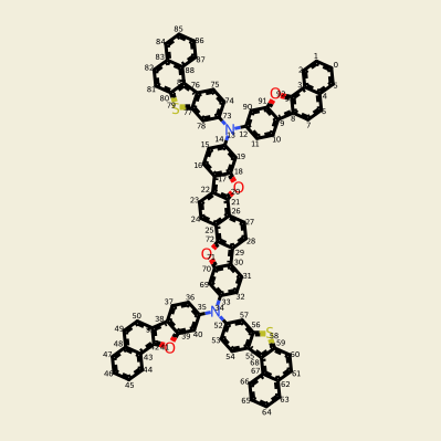 c1ccc2c(c1)ccc1c3ccc(N(c4ccc5c(c4)oc4c5ccc5c4ccc4c6ccc(N(c7ccc8c(c7)oc7c9ccccc9ccc87)c7ccc8c(c7)sc7ccc9ccccc9c78)cc6oc45)c4ccc5c(c4)sc4ccc6ccccc6c45)cc3oc21